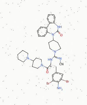 N#CN=C(N[C@H](Cc1cc(Br)c(N)c(Br)c1)C(=O)N1CCC(N2CCCCC2)CC1)N1CCC(N2C(=O)Nc3ccccc3-c3ccccc32)CC1